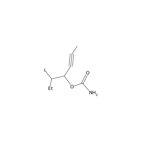 CC#CC(OC(N)=O)C(I)CC